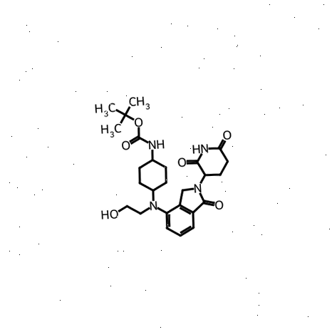 CC(C)(C)OC(=O)NC1CCC(N(CCO)c2cccc3c2CN(C2CCC(=O)NC2=O)C3=O)CC1